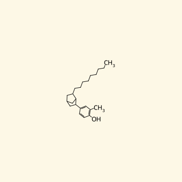 CCCCCCCCCC1CC2CC(c3ccc(O)c(C)c3)C1C2